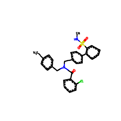 Cc1ccc(CN(Cc2ccc(-c3ccccc3S(=O)(=O)NC#N)cc2)C(=O)c2ccccc2Cl)cc1